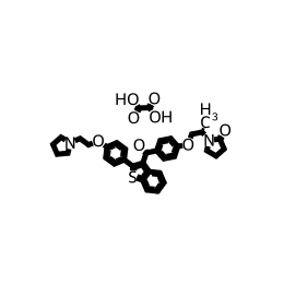 C[C@H](COc1ccc(C(=O)c2c(-c3ccc(OCCN4CCCC4)cc3)sc3ccccc23)cc1)N1CCCC1=O.O=C(O)C(=O)O